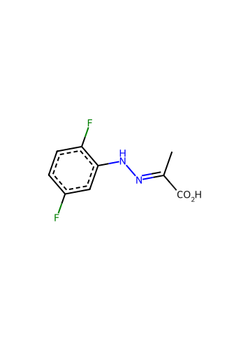 C/C(=N\Nc1cc(F)ccc1F)C(=O)O